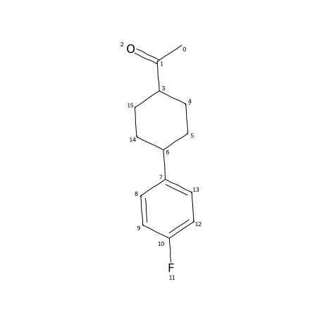 CC(=O)C1[CH]CC(c2ccc(F)cc2)CC1